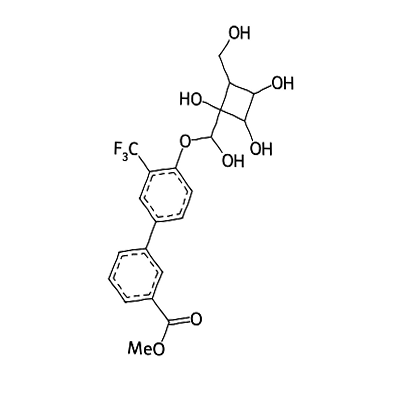 COC(=O)c1cccc(-c2ccc(OC(O)C3(O)C(O)C(O)C3CO)c(C(F)(F)F)c2)c1